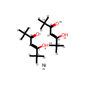 CC(C)(C)C(=O)C=C(O)C(C)(C)C.CC(C)(C)C(=O)C=C(O)C(C)(C)C.[Ni]